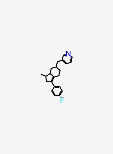 CC1CC(c2ccc(F)cc2)=C2CCC(Cc3cccnc3)CC21